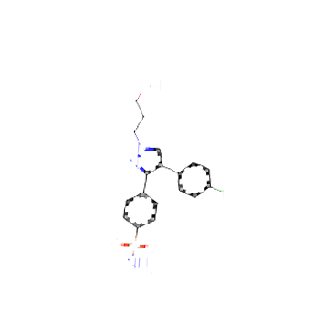 NS(=O)(=O)c1ccc(-c2nn(CCCO)cc2-c2ccc(F)cc2)cc1